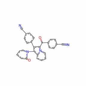 N#Cc1ccc(C(=O)c2c(-c3ccc(C#N)cc3)c(-n3ccccc3=O)c3ccccn23)cc1